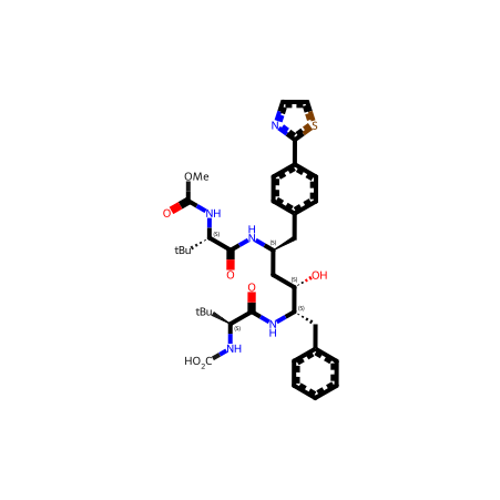 COC(=O)N[C@H](C(=O)N[C@@H](Cc1ccc(-c2nccs2)cc1)C[C@H](O)[C@H](Cc1ccccc1)NC(=O)[C@@H](NC(=O)O)C(C)(C)C)C(C)(C)C